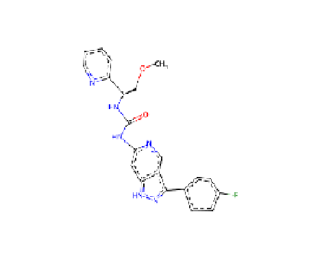 COC[C@@H](NC(=O)Nc1cc2[nH]nc(-c3ccc(F)cc3)c2cn1)c1ccccn1